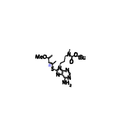 C=C(/C=C(\C)Sc1nc2c(N)ncnc2n1CCCN(C)C(=O)OC(C)(C)C)OC